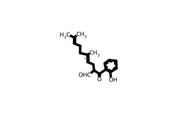 CC(C)=CCC/C(C)=C/CC(C=O)C(=O)c1ccccc1O